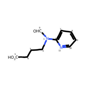 O=CN(CCCC(=O)O)c1ccccn1